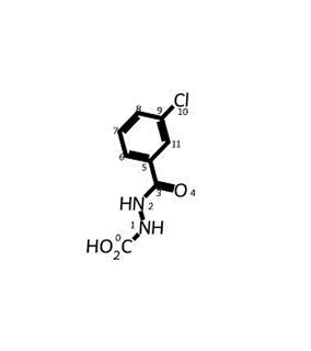 O=C(O)NNC(=O)c1cccc(Cl)c1